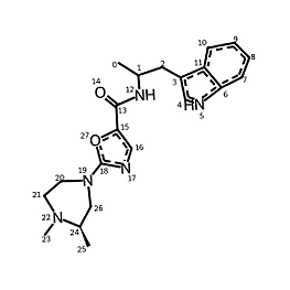 CC(Cc1c[nH]c2ccccc12)NC(=O)c1cnc(N2CCN(C)[C@H](C)C2)o1